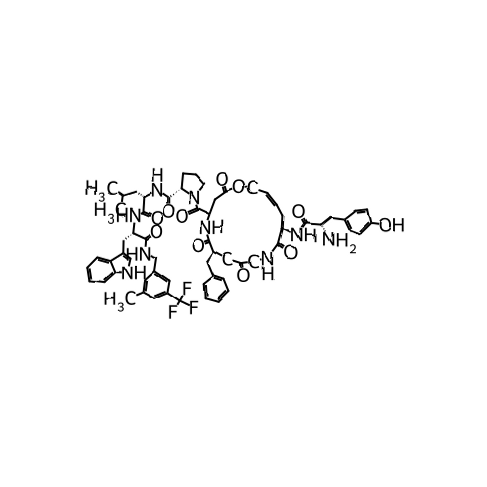 Cc1cc(CNC(=O)[C@H](Cc2c[nH]c3ccccc23)NC(=O)[C@H](CC(C)C)NC(=O)[C@@H]2CCCN2C(=O)C2CC(=O)OCC=CC[C@@H](NC(=O)[C@@H](N)Cc3ccc(O)cc3)C(=O)NCC(=O)C[C@@H](Cc3ccccc3)C(=O)N2)cc(C(F)(F)F)c1